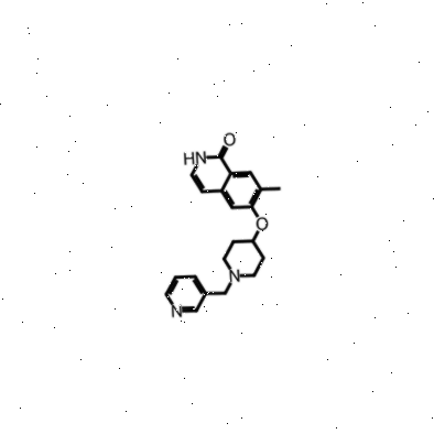 Cc1cc2c(=O)[nH]ccc2cc1OC1CCN(Cc2cccnc2)CC1